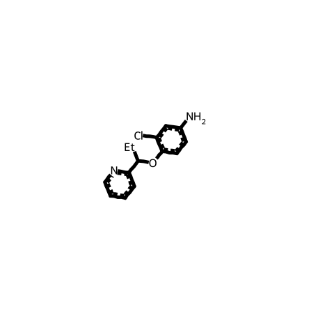 CCC(Oc1ccc(N)cc1Cl)c1ccccn1